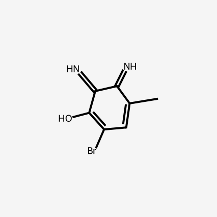 CC1=CC(Br)=C(O)C(=N)C1=N